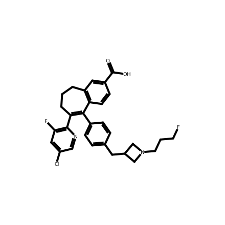 O=C(O)c1ccc2c(c1)CCCC(c1ncc(Cl)cc1F)=C2c1ccc(CC2CN(CCCF)C2)cc1